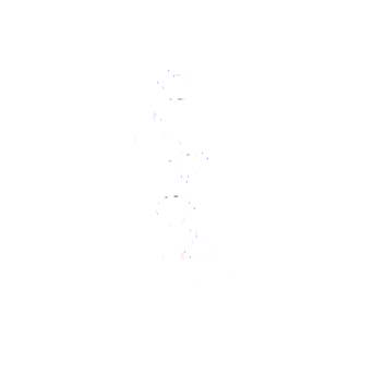 Cc1ccc(Nc2cc3ncn(-c4ccc([C@@H](C)O)c(-n5nc(OC(F)F)cc5C)n4)c3cc2F)nn1